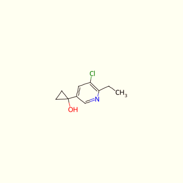 CCc1ncc(C2(O)CC2)cc1Cl